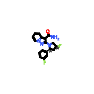 NC(=O)c1c(N2C[C@@H](F)C[C@@H]2c2cccc(F)c2)nn2ccccc12